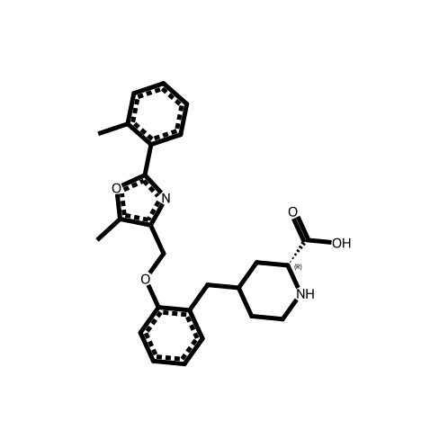 Cc1ccccc1-c1nc(COc2ccccc2CC2CCN[C@@H](C(=O)O)C2)c(C)o1